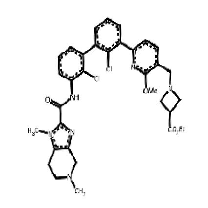 CCOC(=O)C1CN(Cc2ccc(-c3cccc(-c4cccc(NC(=O)c5nc6c(n5C)CCN(C)C6)c4Cl)c3Cl)nc2OC)C1